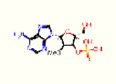 COC1C(OP(=O)(O)O)[C@@H](CO)O[C@H]1n1cnc2c(N)ncnc21